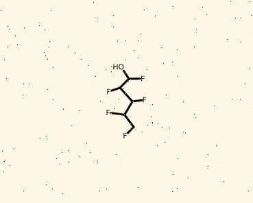 OC(F)C(F)C(F)C(F)CF